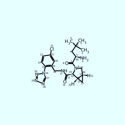 CC(C)(C)C[C@@H](N)C(=O)N1C[C@@H]2C[C@@H]2[C@H]1C(=O)NCc1cc(Cl)ccc1-n1cnnn1